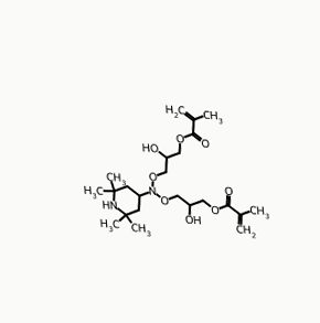 C=C(C)C(=O)OCC(O)CON(OCC(O)COC(=O)C(=C)C)C1CC(C)(C)NC(C)(C)C1